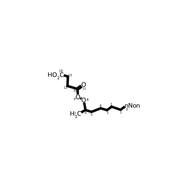 CCCCCCCCCCCCCCC(C)OOC(=O)CCC(=O)O